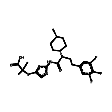 CC(C)(Sc1cnc(NC(=O)N(CCc2cc(F)c(F)c(F)c2)[C@H]2CC[C@H](C)CC2)s1)C(=O)O